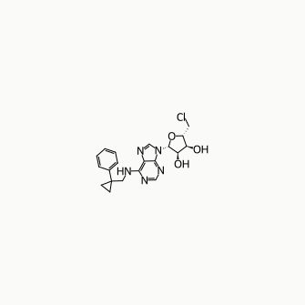 O[C@@H]1[C@H](O)[C@@H](CCl)O[C@H]1n1cnc2c(NCC3(c4ccccc4)CC3)ncnc21